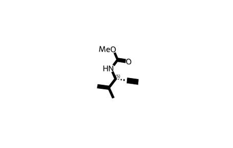 C#C[C@@H](NC(=O)OC)C(=C)C